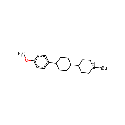 CCCC[SiH]1CCC(C2CCC(c3ccc(OC(F)(F)F)cc3)CC2)CC1